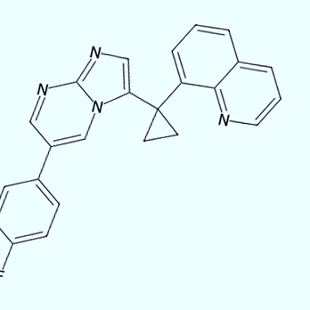 Fc1ccc(-c2cnc3ncc(C4(c5cccc6cccnc56)CC4)n3c2)cc1